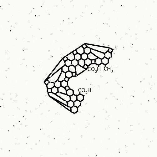 CC1CC2CC3CC4C3C3C2C2C1C(C(=O)O)C1C5C2C2C3C3C4C4C3C3C2C2C5C1C1C5C2C2C3C3C4C4C3C3C2C2C5C1C1C5C6C7C8C9CC%10C%11C(C(=O)O)CCC%12CC%13CCC%14C%15C%13C(C%12%11)C%11C%10C%10C9C8C8C9C%10C%10C%11C%15C%14C%11C%10C%10C%11C%11C%12C(C9%10)C9C8C7C6C6C9C7C%12C%11C8C4C4C8C7C7C6C5C1C2C7C34